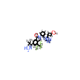 CO[C@H]1C[C@](c2cccc(N3Cc4c(cc(C(N)C(C)(C)C)cc4C(F)(F)F)C3=O)c2)(c2nncn2C)C1